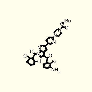 CC(C)(C)OC(=O)N1CCN(c2ccc(-c3cnc4c(c3)c(C(=O)c3cccc(N)c3Br)cn4C(=O)c3c(Cl)cccc3Cl)cn2)CC1